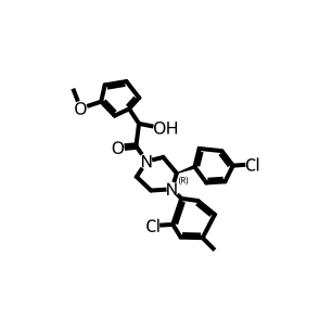 COc1cccc(C(O)C(=O)N2CCN(c3ccc(C)cc3Cl)[C@H](c3ccc(Cl)cc3)C2)c1